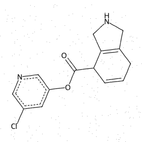 O=C(Oc1cncc(Cl)c1)C1C=CCC2=C1CNC2